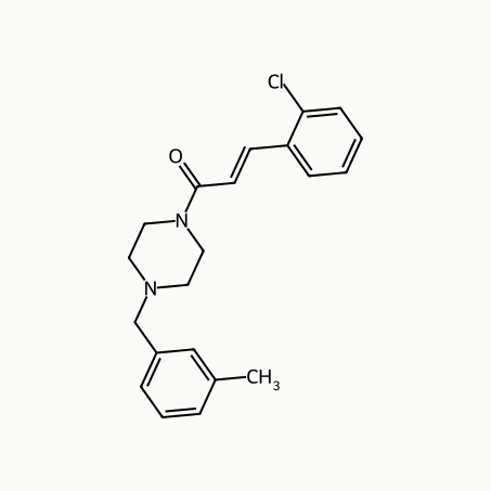 Cc1cccc(CN2CCN(C(=O)C=Cc3ccccc3Cl)CC2)c1